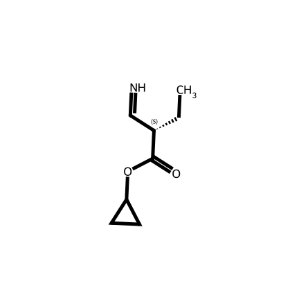 CC[C@@H](C=N)C(=O)OC1CC1